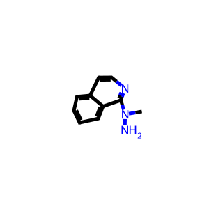 CN(N)c1nccc2ccccc12